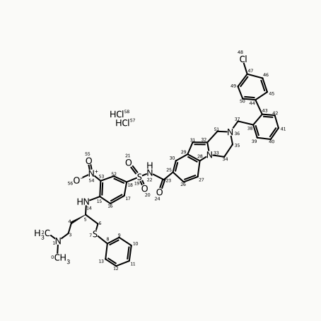 CN(C)CC[C@H](CSc1ccccc1)Nc1ccc(S(=O)(=O)NC(=O)c2ccc3c(c2)cc2n3CCN(Cc3ccccc3-c3ccc(Cl)cc3)C2)cc1[N+](=O)[O-].Cl.Cl